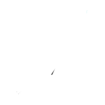 N#CC=CCC[C@H]1CC[C@H](c2ccc(F)c(F)c2)CC1